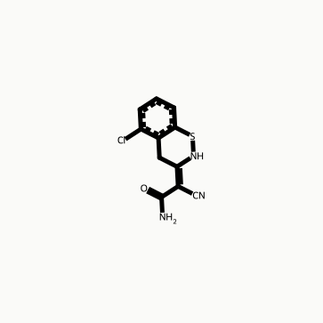 N#C/C(C(N)=O)=C1/Cc2c(Cl)cccc2SN1